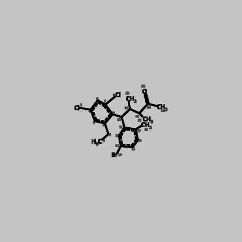 CCc1cc(Cl)cc(Cl)c1C(c1cc(Br)ccc1C)C(C)C(C)C(C)=O